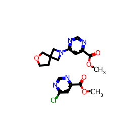 COC(=O)c1cc(Cl)ncn1.COC(=O)c1cc(N2CC3(CCOC3)C2)ncn1